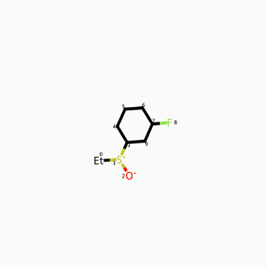 CC[S+]([O-])C1CCCC(F)C1